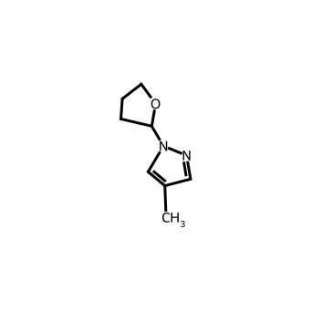 Cc1cnn(C2CCCO2)c1